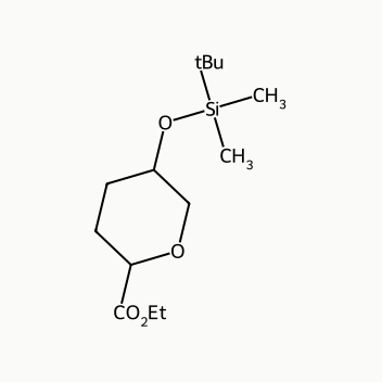 CCOC(=O)C1CCC(O[Si](C)(C)C(C)(C)C)CO1